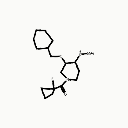 CSNC1CCN(C(=O)C2(F)CCC2)CC1OCC1CCCCC1